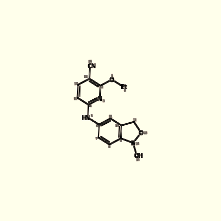 CCOc1nc(Nc2ccc3c(c2)COB3O)ccc1C#N